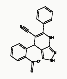 N#CC1=C(c2ccccc2)Nc2n[nH]cc2C1c1ccccc1[N+](=O)[O-]